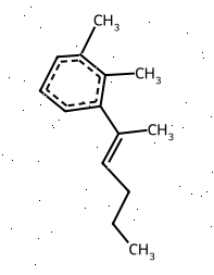 CCC/C=C(\C)c1cccc(C)c1C